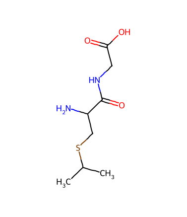 CC(C)SCC(N)C(=O)NCC(=O)O